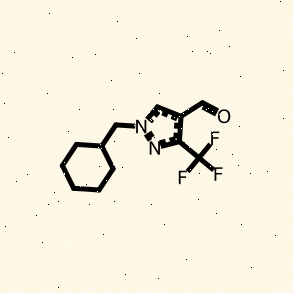 O=Cc1cn(CC2CCCCC2)nc1C(F)(F)F